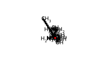 CCCCCCCCCCCCCCCCCC(=O)N(C(=O)CC[C@@H](NC(=O)[C@H](C)N)C(N)=O)[C@](CCCCN)(CC(C)O[C@H]1[C@H](O)[C@@H](CO)O[C@H](O)[C@@H]1NC(C)=O)C(=O)O